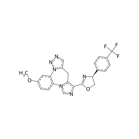 COc1ccc2c(c1)-n1nncc1Cc1c(C3=N[C@@H](c4ccc(C(F)(F)F)cc4)CO3)ncn1-2